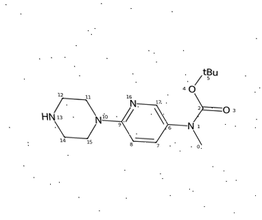 CN(C(=O)OC(C)(C)C)c1ccc(N2CCNCC2)nc1